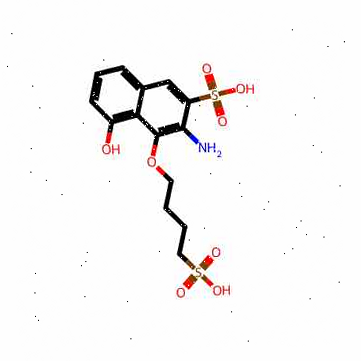 Nc1c(S(=O)(=O)O)cc2cccc(O)c2c1OCCCCS(=O)(=O)O